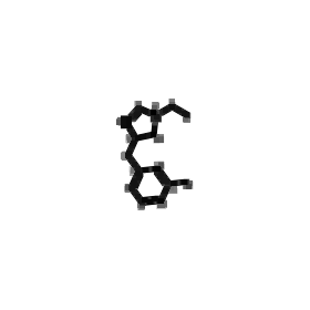 CCN1C=NC(Cc2cccc(C)c2)C1